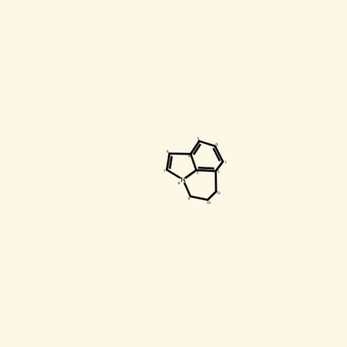 [c]1cc2c3c(c1)ccn3CCC2